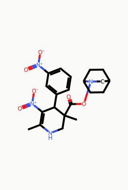 CC1=C([N+](=O)[O-])C(c2cccc([N+](=O)[O-])c2)C(C)(C(=O)ON2CC3CCC2CC3)CN1